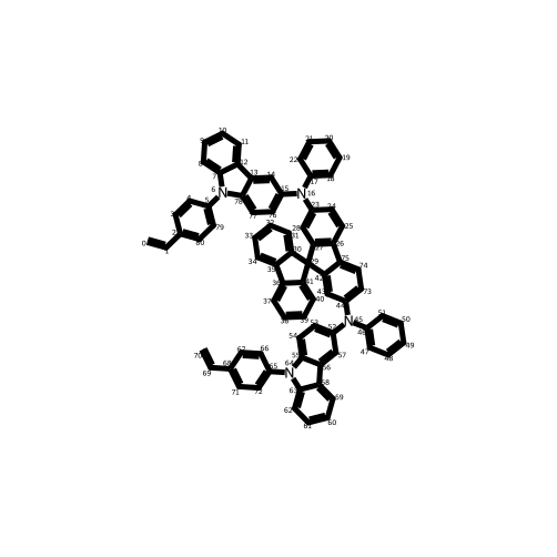 C=Cc1ccc(-n2c3ccccc3c3cc(N(c4ccccc4)c4ccc5c(c4)C4(c6ccccc6-c6ccccc64)c4cc(N(c6ccccc6)c6ccc7c(c6)c6ccccc6n7-c6ccc(C=C)cc6)ccc4-5)ccc32)cc1